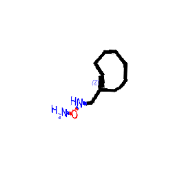 NONC/C1=C\CCCCCC1